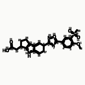 COc1ccc(-c2nc(C3C=c4c5c([nH]c4=CC3)C(CC(=O)O)CC5)no2)cc1S(C)(=O)=O